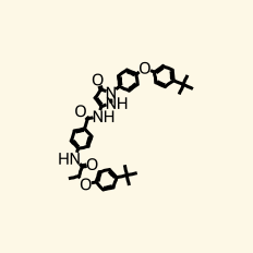 CC(Oc1ccc(C(C)(C)C)cc1)C(=O)Nc1ccc(C(=O)Nc2cc(=O)n(-c3ccc(Oc4ccc(C(C)(C)C)cc4)cc3)[nH]2)cc1